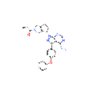 C=CC(=O)N1CC2=C(C1)[C@@H](n1nc(-c3ccc(Oc4ccccc4)cc3)c3c(N)ncnc31)CC2